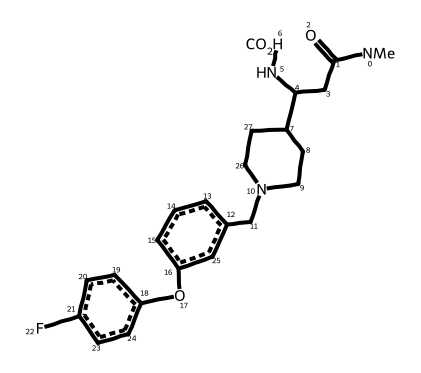 CNC(=O)CC(NC(=O)O)C1CCN(Cc2cccc(Oc3ccc(F)cc3)c2)CC1